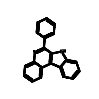 c1ccc(-c2nc3ccccc3c3c2[nH]c2ccccc23)cc1